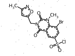 Cc1cc(Cn2c(=O)c3cc(S(=O)(=O)Cl)cc(Br)c3n(C)c2=O)on1